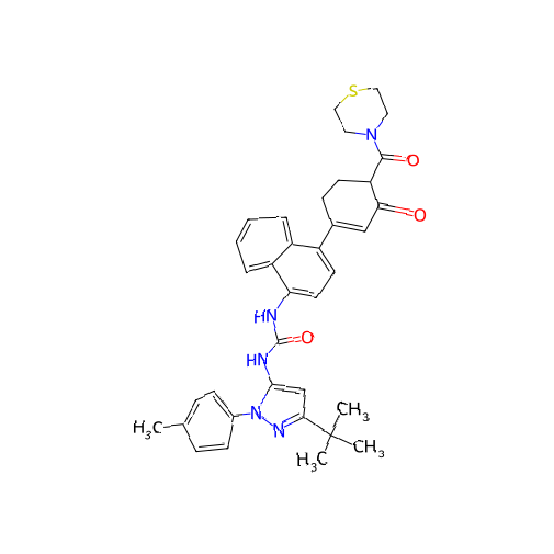 Cc1ccc(-n2nc(C(C)(C)C)cc2NC(=O)Nc2ccc(C3=CC(=O)C(C(=O)N4CCSCC4)CC3)c3ccccc23)cc1